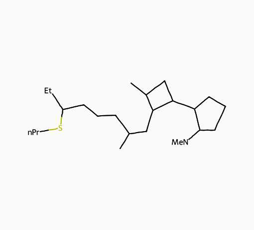 CCCSC(CC)CCCC(C)CC1C(C)CC1C1CCCC1NC